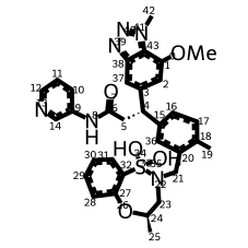 COc1cc([C@@H](CC(=O)Nc2cccnc2)c2ccc(C)c(CN3C[C@@H](C)Oc4ccccc4S3(O)O)c2)cc2nnn(C)c12